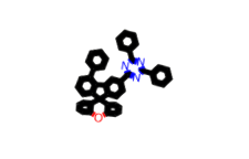 c1ccc(-c2nc(-c3ccccc3)nc(-c3ccc4c(c3)-c3c(-c5ccccc5)cccc3C43c4ccccc4Oc4ccccc43)n2)cc1